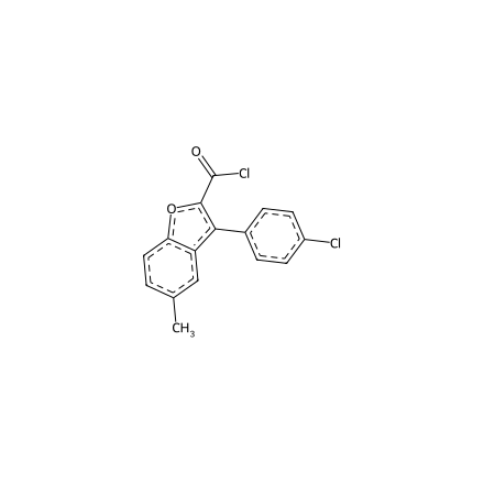 Cc1ccc2oc(C(=O)Cl)c(-c3ccc(Cl)cc3)c2c1